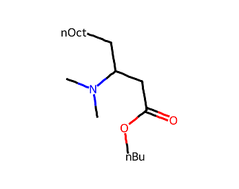 CCCCCCCCCC(CC(=O)OCCCC)N(C)C